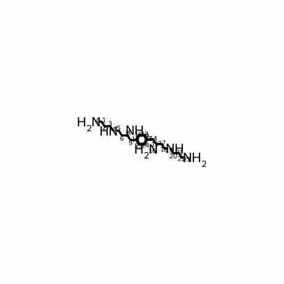 NCCCNCCC(N)Cc1ccc(CC(N)CCNCCCN)cc1